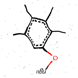 CCCCOc1cc(C)c(C)c(C)c1C